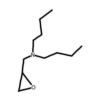 CCCCN(CCCC)CC1CO1